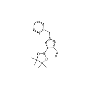 C=Cc1nn(Cc2ccccn2)cc1B1OC(C)(C)C(C)(C)O1